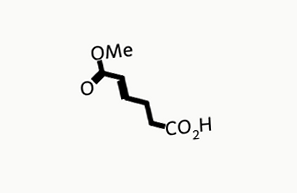 COC(=O)/C=C/CCC(=O)O